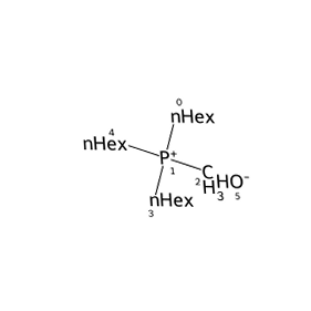 CCCCCC[P+](C)(CCCCCC)CCCCCC.[OH-]